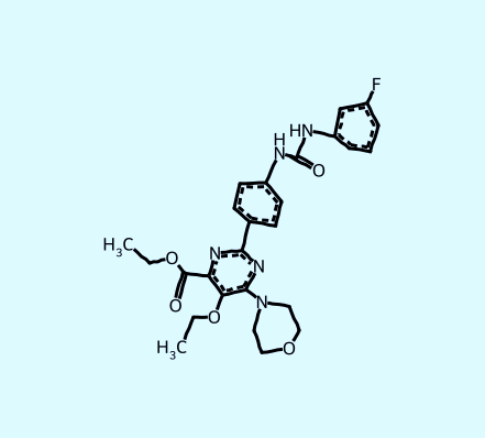 CCOC(=O)c1nc(-c2ccc(NC(=O)Nc3cccc(F)c3)cc2)nc(N2CCOCC2)c1OCC